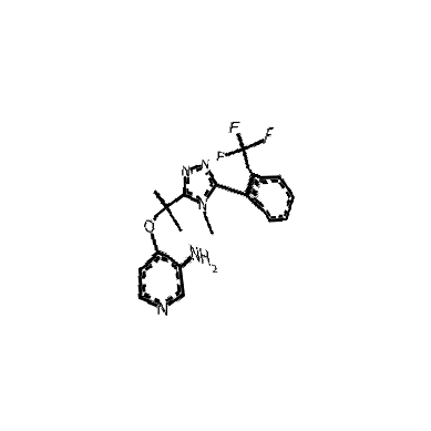 Cn1c(-c2ccccc2C(F)(F)F)nnc1C(C)(C)Oc1ccncc1N